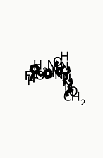 C=CC(=O)N1CCN(C2CCNc3c2nn(-c2ccc(Oc4ccccc4C(F)(F)F)cc2)c3C(N)=O)CC1